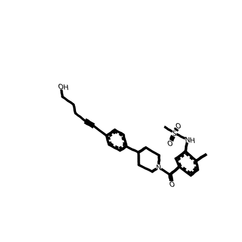 Cc1ccc(C(=O)N2CCC(c3ccc(C#CCCCO)cc3)CC2)cc1NS(C)(=O)=O